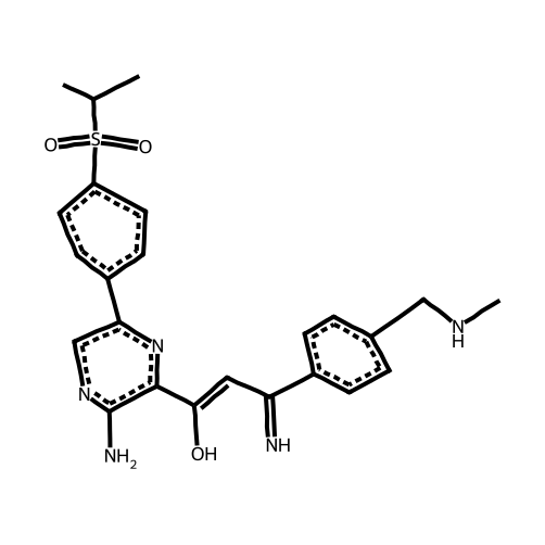 CNCc1ccc(C(=N)/C=C(\O)c2nc(-c3ccc(S(=O)(=O)C(C)C)cc3)cnc2N)cc1